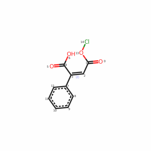 O=C(/C=C(\C(=O)O)c1ccccc1)OCl